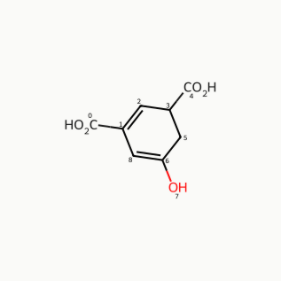 O=C(O)C1=CC(C(=O)O)CC(O)=C1